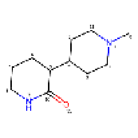 CN1CCC(C2CCCNC2=O)CC1